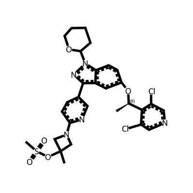 C[C@@H](Oc1ccc2c(c1)c(-c1ccc(N3CC(C)(OS(C)(=O)=O)C3)nc1)nn2C1CCCCO1)c1c(Cl)cncc1Cl